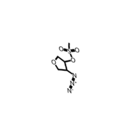 CS(=O)(=O)OC1COCC1N=[N+]=[N-]